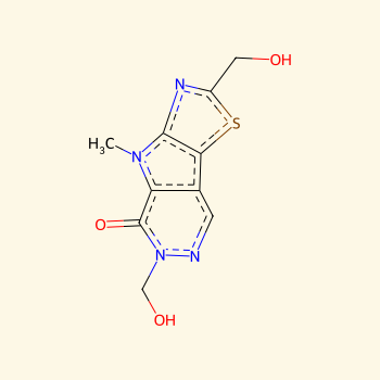 Cn1c2nc(CO)sc2c2cnn(CO)c(=O)c21